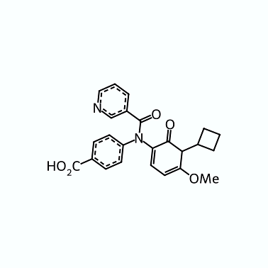 COC1=CC=C(N(C(=O)c2cccnc2)c2ccc(C(=O)O)cc2)C(=O)C1C1CCC1